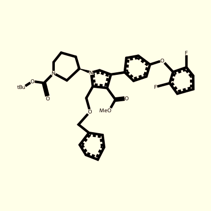 COC(=O)c1c(-c2ccc(Oc3c(F)cccc3F)cc2)cn([C@@H]2CCCN(C(=O)OC(C)(C)C)C2)c1COCc1ccccc1